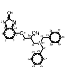 O=C1N=c2cccc(OCC(O)CN(Cc3ccccc3)Cc3ccccc3)c2=N1